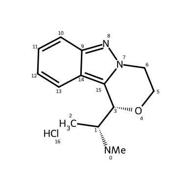 CN[C@H](C)[C@H]1OCCn2nc3ccccc3c21.Cl